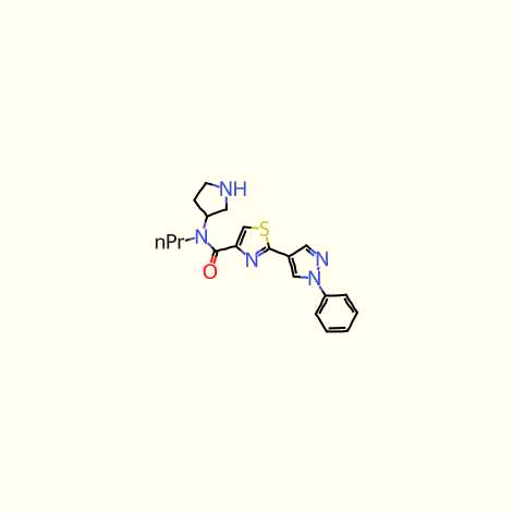 CCCN(C(=O)c1csc(-c2cnn(-c3ccccc3)c2)n1)C1CCNC1